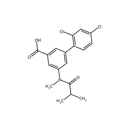 CC(C)C(=O)N(C)c1cc(C(=O)O)cc(-c2ccc(Cl)cc2Cl)c1